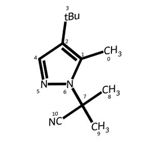 Cc1c(C(C)(C)C)cnn1C(C)(C)C#N